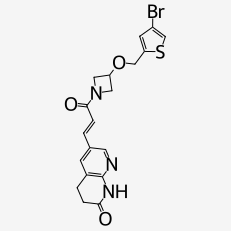 O=C1CCc2cc(/C=C/C(=O)N3CC(OCc4cc(Br)cs4)C3)cnc2N1